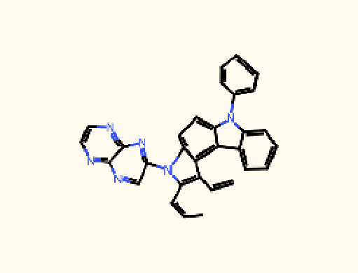 C=Cc1c(/C=C\C)n(-c2cnc3nccnc3n2)c2ccc3c(c4ccccc4n3-c3ccccc3)c12